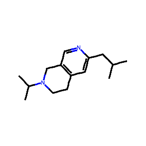 CC(C)Cc1cc2c(cn1)CN(C(C)C)CC2